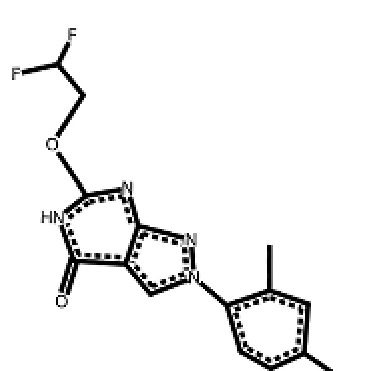 Cc1ccc(-n2cc3c(=O)[nH]c(OCC(F)F)nc3n2)c(C)c1